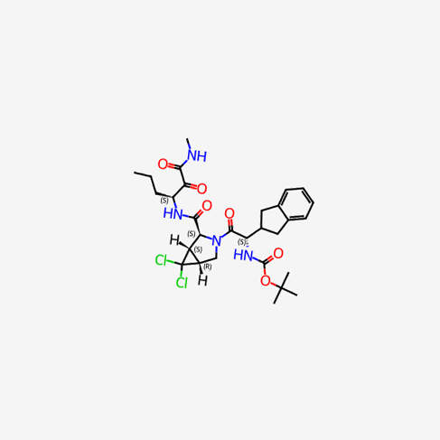 CCC[C@H](NC(=O)[C@@H]1[C@@H]2[C@H](CN1C(=O)[C@@H](NC(=O)OC(C)(C)C)C1Cc3ccccc3C1)C2(Cl)Cl)C(=O)C(=O)NC